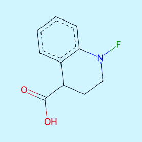 O=C(O)C1CCN(F)c2ccccc21